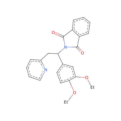 CCOc1ccc(C(Cc2ccccn2)N2C(=O)c3ccccc3C2=O)cc1OCC